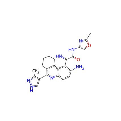 Cc1nc(NC(=O)C(=N)c2c(N)ccc3nc(-c4c[nH]nc4C(F)(F)F)c4c(c23)CCCC4)co1